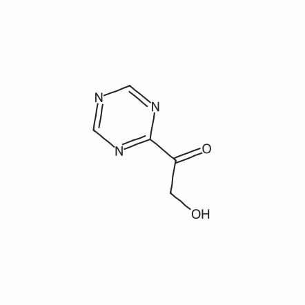 O=C(CO)c1ncncn1